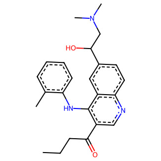 CCCC(=O)c1cnc2ccc(C(O)CN(C)C)cc2c1Nc1ccccc1C